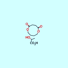 CC(O)C(=O)O.O=C1CCC(=O)OCCCCO1